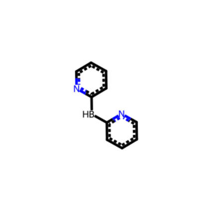 B(c1ccccn1)c1ccccn1